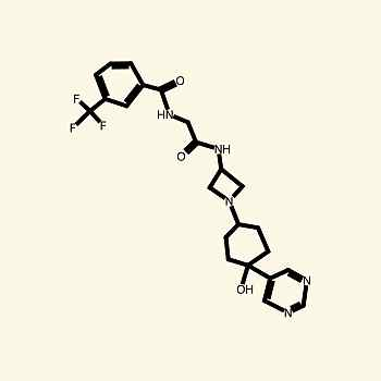 O=C(CNC(=O)c1cccc(C(F)(F)F)c1)NC1CN(C2CCC(O)(c3cncnc3)CC2)C1